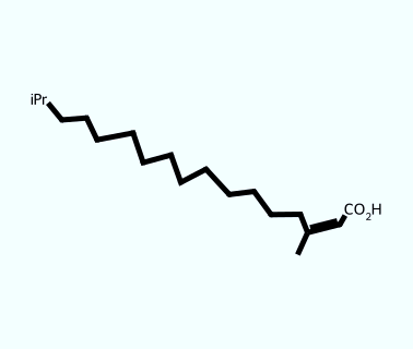 CC(=CC(=O)O)CCCCCCCCCCCCC(C)C